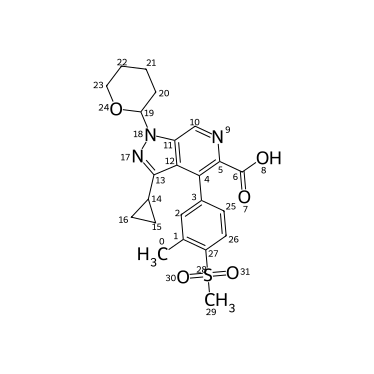 Cc1cc(-c2c(C(=O)O)ncc3c2c(C2CC2)nn3C2CCCCO2)ccc1S(C)(=O)=O